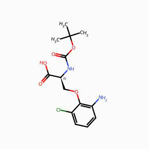 CC(C)(C)OC(=O)N[C@@H](COc1c(N)cccc1Cl)C(=O)O